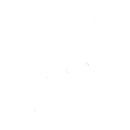 Cc1nc2cc(F)ccc2c(=O)n1-c1ccc(S)cc1